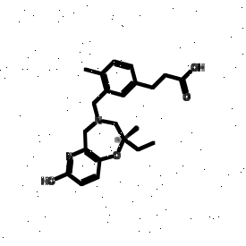 CC[C@@]1(C)CN(Cc2cc(CCC(=O)O)ccc2C)Cc2nc(O)ccc2O1